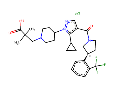 CC(C)(CN1CCC(n2ncc(C(=O)N3CC[C@@H](c4ccccc4C(F)(F)F)C3)c2C2CC2)CC1)C(=O)O.Cl